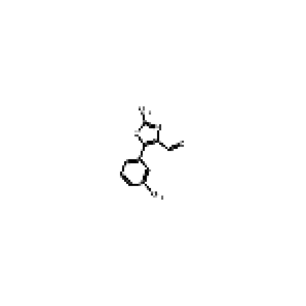 Cc1cccc(-c2oc(C)nc2C=O)c1